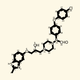 Cc1nc2cc(OC[C@H](O)CN3CCN(N(C=O)c4ccc(Oc5ccc(Cl)cc5)cc4)CC3)ccc2s1